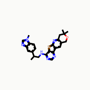 CC(CNc1ncnc2c1sc1nc3c(cc12)COC(C)(C)C3)c1ccc2c(c1)ncn2C